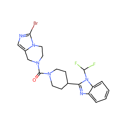 O=C(N1CCC(c2nc3ccccc3n2C(F)F)CC1)N1CCn2c(cnc2Br)C1